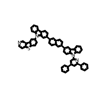 c1ccc(-c2cc(-c3ccccc3)nc(-n3c4ccccc4c4cc(-c5ccc6cc(-c7ccc8c9ccccc9n(-c9ccc%10sc%11ccncc%11c%10c9)c8c7)ccc6c5)ccc43)c2)cc1